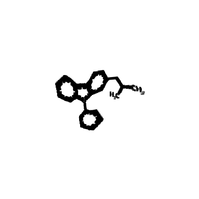 CC(C)Cc1ccc2c3ccccc3n(-c3ccccc3)c2c1